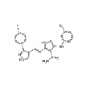 NC(=O)c1c(Nc2cccc(Cl)c2)n[nH]c1/N=C/c1c[nH]nc1-c1ccc(F)cc1